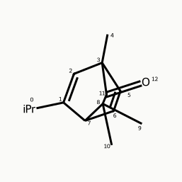 CC(C)C1=CC2(C)C=CC1C(C)(C)C2=O